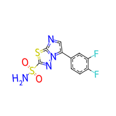 NS(=O)(=O)c1nn2c(-c3ccc(F)c(F)c3)cnc2s1